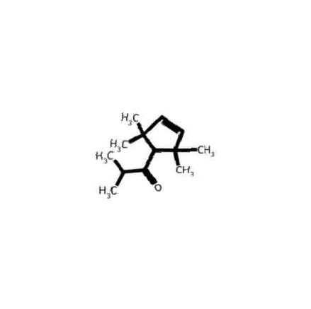 CC(C)C(=O)C1C(C)(C)C=CC1(C)C